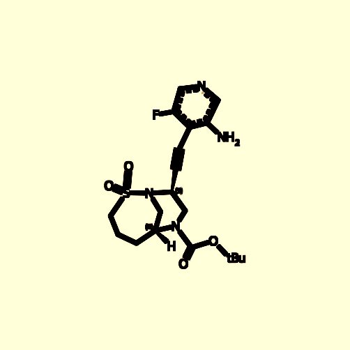 CC(C)(C)OC(=O)N1C[C@H](C#Cc2c(N)cncc2F)N2C[C@H]1CCCS2(=O)=O